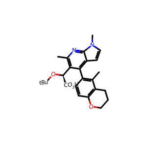 Cc1nc2c(ccn2C)c(-c2ccc3c(c2C)CCCO3)c1[C@H](OC(C)(C)C)C(=O)O